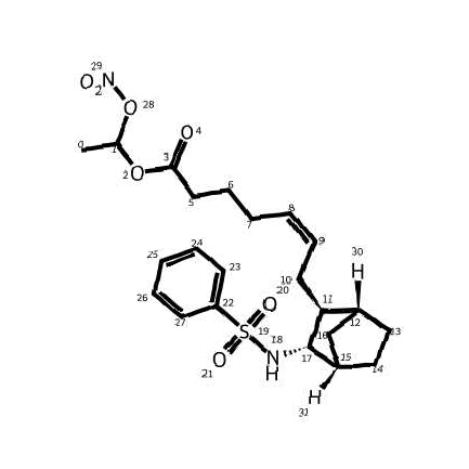 CC(OC(=O)CCC/C=C\C[C@H]1[C@@H]2CC[C@@H](C2)[C@@H]1NS(=O)(=O)c1ccccc1)O[N+](=O)[O-]